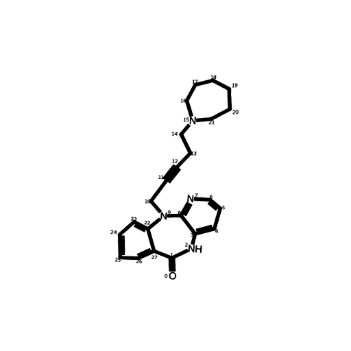 O=C1Nc2cccnc2N(CC#CCCN2CCCCCC2)c2ccccc21